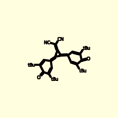 CC(C)(C)C1=CC(=C2C(=C(C#N)C#N)C2=C2C=C(C(C)(C)C)C(=O)C(C(C)(C)C)=C2)C=C(C(C)(C)C)C1=O